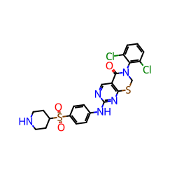 O=C1c2cnc(Nc3ccc(S(=O)(=O)C4CCNCC4)cc3)nc2SCN1c1c(Cl)cccc1Cl